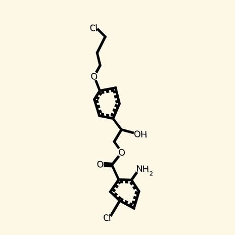 Nc1ccc(Cl)cc1C(=O)OCC(O)c1ccc(OCCCCl)cc1